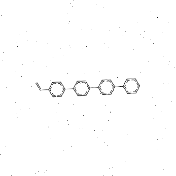 C=Cc1ccc(-c2ccc(-c3ccc(-c4ccccc4)cc3)cc2)cc1